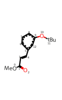 COC(=O)C=Cc1cccc(OC(C)(C)C)c1